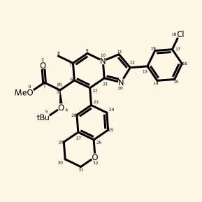 COC(=O)[C@H](OC(C)(C)C)c1c(C)cn2cc(-c3cccc(Cl)c3)nc2c1-c1ccc2c(c1)CCCO2